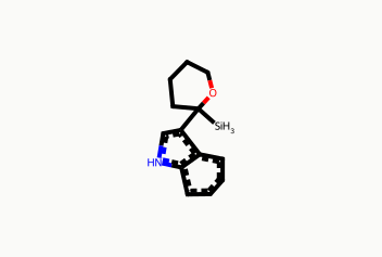 [SiH3]C1(c2c[nH]c3ccccc23)CCCCO1